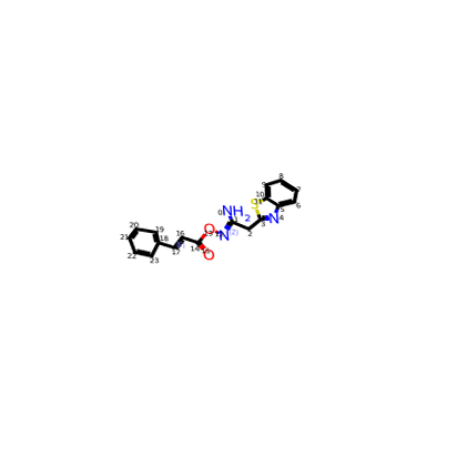 N/C(Cc1nc2ccccc2s1)=N\OC(=O)/C=C/c1ccccc1